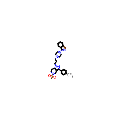 CS(=O)(=O)N1CCc2c(c(-c3ccc(C(F)(F)F)cc3)nn2CCCN2CCN(c3nsc4ccccc34)CC2)C1